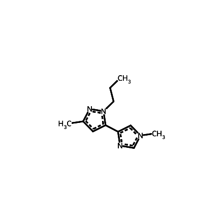 CCCn1nc(C)cc1-c1cn(C)cn1